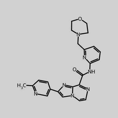 Cc1ccc(-c2cn3ccnc(C(=O)Nc4cccc(CN5CCOCC5)n4)c3n2)cn1